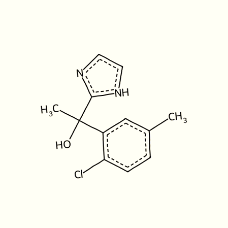 Cc1ccc(Cl)c(C(C)(O)c2ncc[nH]2)c1